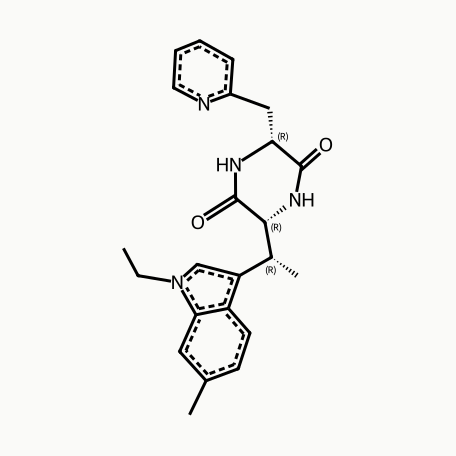 CCn1cc([C@@H](C)[C@H]2NC(=O)[C@@H](Cc3ccccn3)NC2=O)c2ccc(C)cc21